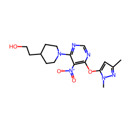 Cc1cc(Oc2ncnc(N3CCC(CCO)CC3)c2[N+](=O)[O-])n(C)n1